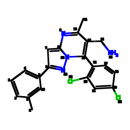 Cc1cccc(-c2cc3nc(C)c(CN)c(-c4ccc(Cl)cc4Cl)n3n2)c1